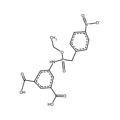 CCOP(=O)(Cc1ccc([N+](=O)[O-])cc1)Nc1cc(C(=O)O)cc(C(=O)O)c1